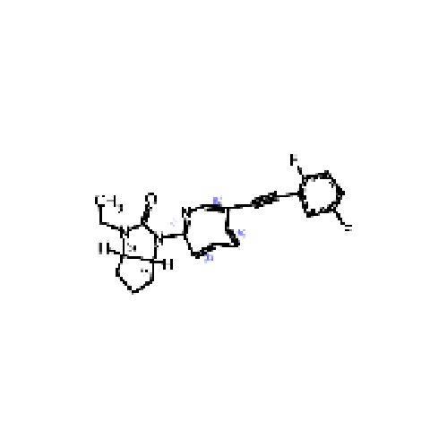 CCN1C(=O)N(C2=N/C=C(C#Cc3cc(F)ccc3F)\C=C\C=C\2)[C@@H]2CCC[C@@H]21